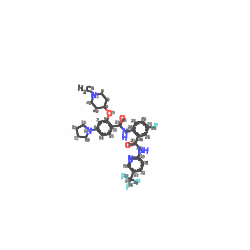 CN1CCC(Oc2cc(N3CCCC3)ccc2C(=O)Nc2ccc(F)cc2C(=O)Nc2ccc(C(F)(F)F)cn2)CC1